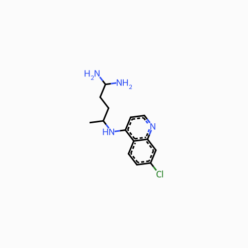 CC(CCC(N)N)Nc1ccnc2cc(Cl)ccc12